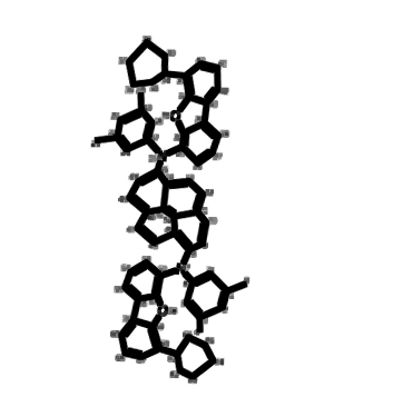 Cc1cc(C)cc(N(c2ccc3ccc4c(N(c5cc(C)cc(C)c5)c5cccc6c5oc5c(C7CCCCC7)cccc56)ccc5ccc2c3c54)c2cccc3c2oc2c(C4CCCCC4)cccc23)c1